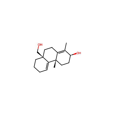 CC1=C2CC[C@@]3(CO)CCCC=C3[C@@]2(C)CC[C@@H]1O